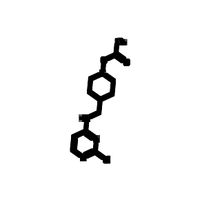 CC(C)(C)C(=O)ON1CCC(CNc2ccnc(Cl)n2)CC1